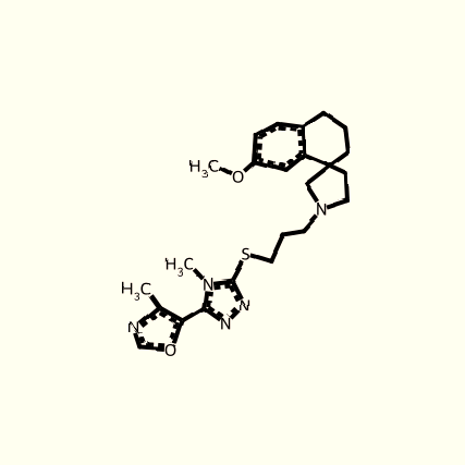 COc1ccc2c(c1)C1(CCC2)CCN(CCCSc2nnc(-c3ocnc3C)n2C)C1